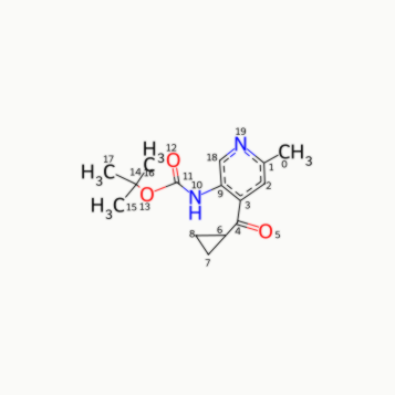 Cc1cc(C(=O)C2CC2)c(NC(=O)OC(C)(C)C)cn1